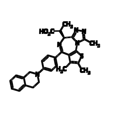 Cc1sc2c(c1C)C(c1ccc(N3CCc4ccccc4C3)cc1)=N[C@@H](C(C)C(=O)O)c1nnc(C)n1-2